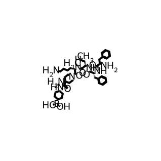 CC(C)C[C@@H](NC(=O)[C@@H](Cc1ccccc1)NC(=O)[C@H](N)Cc1ccccc1)C(=O)N[C@H](CCCCN)C(=O)N1CCC(N)(C(=O)NC2CCC(B(O)O)CC2)CC1